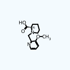 COc1cccnc1CN1CCCC[C@@H]1C(=O)O